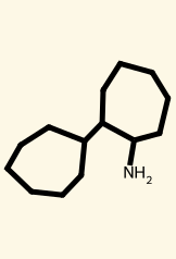 NC1CCCCCC1C1CCCCCC1